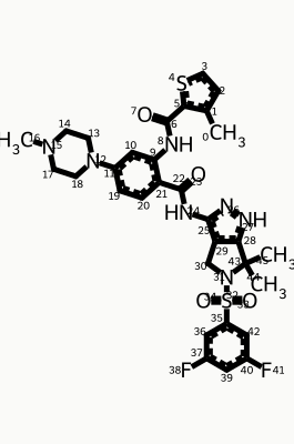 Cc1ccsc1C(=O)Nc1cc(N2CCN(C)CC2)ccc1C(=O)Nc1n[nH]c2c1CN(S(=O)(=O)c1cc(F)cc(F)c1)C2(C)C